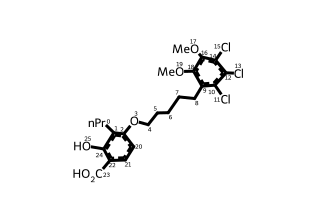 CCCc1c(OCCCCCc2c(Cl)c(Cl)c(Cl)c(OC)c2OC)ccc(C(=O)O)c1O